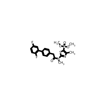 COP(=O)(OC)c1sc(N(C)C(=O)Cc2ccc(-c3cc(F)ccc3F)cc2)nc1C